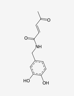 CC(=O)/C=C/C(=O)NCc1ccc(O)c(O)c1